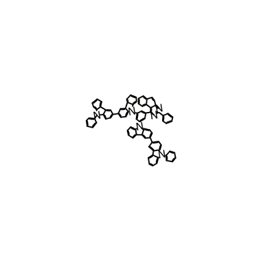 c1ccc(-c2nc(-c3cc(-n4c5ccccc5c5cc(-c6ccc7c(c6)c6ccccc6n7-c6ccccc6)ccc54)cc(-n4c5ccccc5c5cc(-c6ccc7c(c6)c6ccccc6n7-c6ccccc6)ccc54)c3)c3c(ccc4ccccc43)n2)cc1